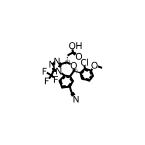 COc1cccc([C@@H]2O[C@@H](CC(=O)O)c3nnc(C(F)(F)F)n3-c3ccc(C#N)cc32)c1Cl